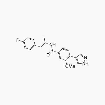 COc1cc(C(=O)NC(C)Cc2ccc(F)cc2)ccc1-c1cn[nH]c1